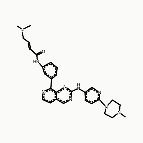 CN(C)CC=CC(=O)Nc1cccc(-c2nccc3cnc(Nc4ccc(N5CCN(C)CC5)nc4)nc23)c1